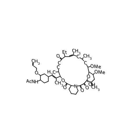 C=CCOC1CC(C=C(C)C2OC(=O)C3CCCCN3C(=O)C(=O)C3(O)OC(C(OC)CC(C)C/C(C)=C/C(CC)C(=O)CCC2C)C(OC)CC3C)CCC1NC(C)=O